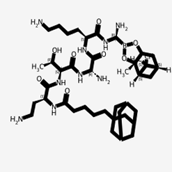 C[C@@H](O)[C@H](NC(=O)[C@H](CCN)NC(=O)CCCCC12CC3CC(CC(C3)C1)C2)C(=O)N[C@@H](N)C(=O)N[C@@H](CCCCN)C(=O)N[C@@H](N)B1OC2C[C@@H]3C[C@@H](C3(C)C)[C@]2(C)O1